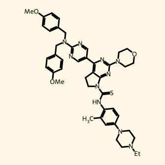 CCN1CCN(c2ccc(NC(=S)N3CCc4c(-c5cnc(N(Cc6ccc(OC)cc6)Cc6ccc(OC)cc6)nc5)nc(N5CCOCC5)nc43)c(C)c2)CC1